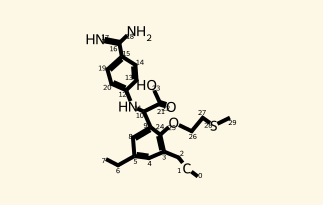 CCCc1cc(CC)cc(C(Nc2ccc(C(=N)N)cc2)C(=O)O)c1OCCSC